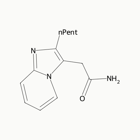 CCCCCc1nc2ccccn2c1CC(N)=O